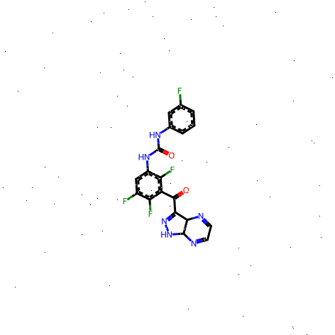 O=C(Nc1cccc(F)c1)Nc1cc(F)c(F)c(C(=O)C2=NNC3N=CC=NC23)c1F